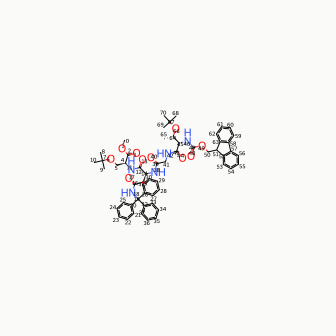 COC(=O)[C@H](COC(C)(C)C)NC(=O)[C@H](CC(=O)NC(c1ccccc1)(c1ccccc1)c1ccccc1)NC(=O)CNC(=O)[C@@H](NC(=O)OCC1c2ccccc2-c2ccccc21)[C@H](C)OC(C)(C)C